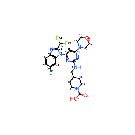 O=C(O)N1CCC(CNc2nc(N3CCOCC3)cc(-n3c(C(F)F)nc4ccc(Cl)cc43)n2)CC1